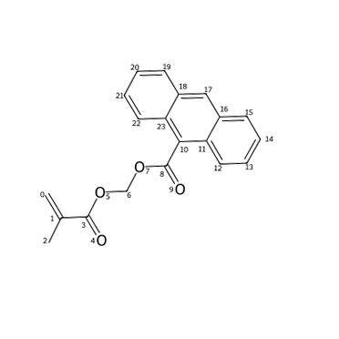 C=C(C)C(=O)OCOC(=O)c1c2ccccc2cc2ccccc12